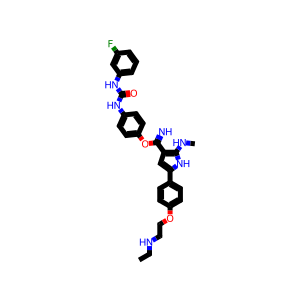 CCNCCOc1ccc(-c2cc(C(=N)Oc3ccc(NC(=O)Nc4cccc(F)c4)cc3)c(NC)[nH]2)cc1